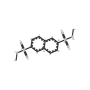 COS(=O)(=O)c1ccc2cc(S(=O)(=O)OC)ccc2c1